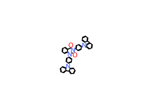 O=c1c2ccccc2n(-c2ccc(-n3c4ccccc4c4ccccc43)cc2)c(=O)n1-c1ccc(N2c3cccc(c3)-c3ccccc32)cc1